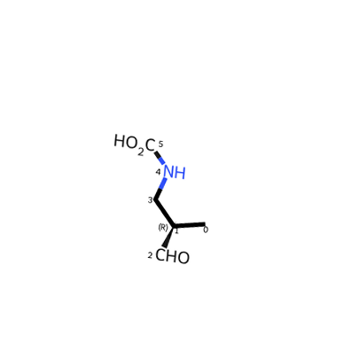 C[C@@H](C=O)CNC(=O)O